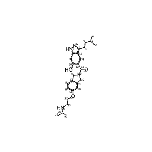 CC(C)CCc1n[nH]c2cc(O)c(C(=O)N3Cc4ccc(OCCNC(C)C)cc4C3)cc12